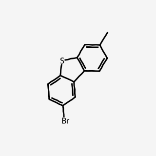 Cc1ccc2c(c1)sc1ccc(Br)cc12